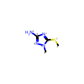 CSc1nc(N)nn1C